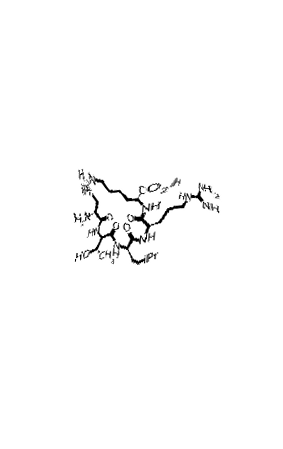 CC(C)C[C@@H](N)C(=O)N[C@@H](C(=O)N[C@H](CC(C)C)C(=O)N[C@H](CCCNC(=N)N)C(=O)N[C@H](CCCCN)C(=O)O)[C@H](C)O